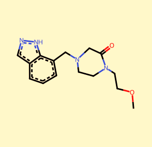 COCCN1CCN(Cc2cccc3cn[nH]c23)CC1=O